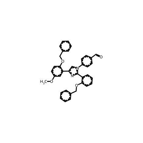 COc1ccc(OCc2ccccc2)c(-c2cn(-c3ccc(C=O)cc3)c(-c3ccccc3OCc3ccccc3)n2)c1